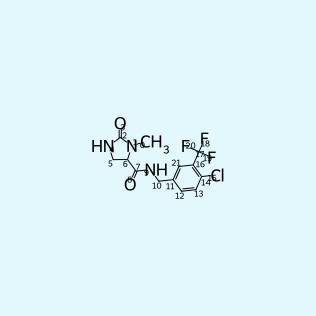 CN1C(=O)NCC1C(=O)NCc1ccc(Cl)c(C(F)(F)F)c1